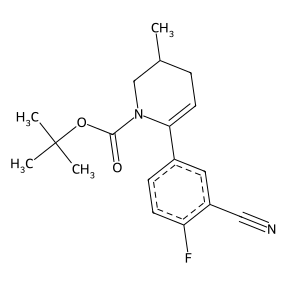 CC1CC=C(c2ccc(F)c(C#N)c2)N(C(=O)OC(C)(C)C)C1